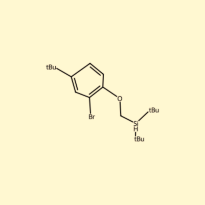 CC(C)(C)c1ccc(OC[SiH](C(C)(C)C)C(C)(C)C)c(Br)c1